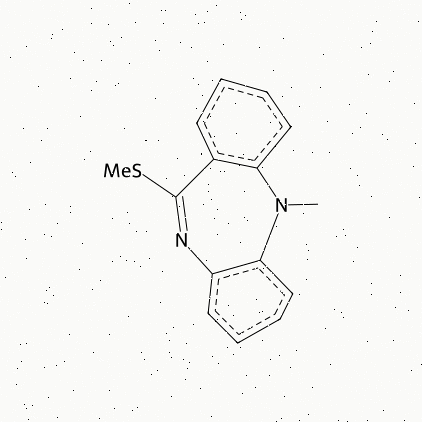 CSC1=Nc2ccccc2N(C)c2ccccc21